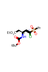 CCOC(=O)C[C@@H](/C=C(\Cl)S(=O)(=O)C(C)C)NC(=O)OC(C)(C)C